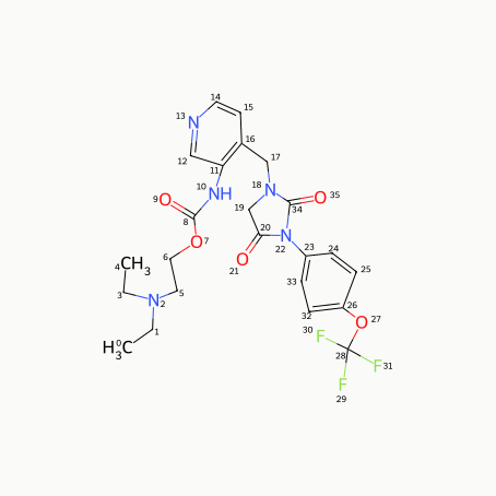 CCN(CC)CCOC(=O)Nc1cnccc1CN1CC(=O)N(c2ccc(OC(F)(F)F)cc2)C1=O